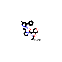 CN[C@@H](C)C(=O)N[C@H](C(=O)N1CCC[C@H]1c1cn2cc(C)cc(-c3ccccc3)c2n1)C1CCOCC1